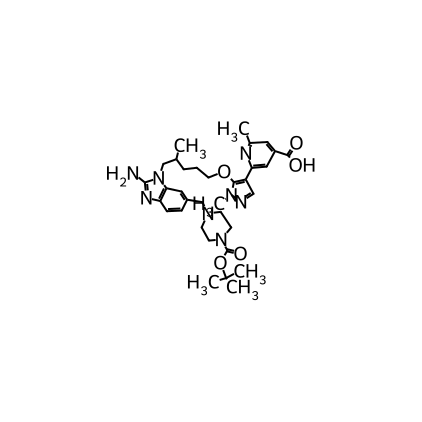 Cc1cc(C(=O)O)cc(-c2cnn(C)c2OCCCC(C)Cn2c(N)nc3ccc(CN4CCN(C(=O)OC(C)(C)C)CC4)cc32)n1